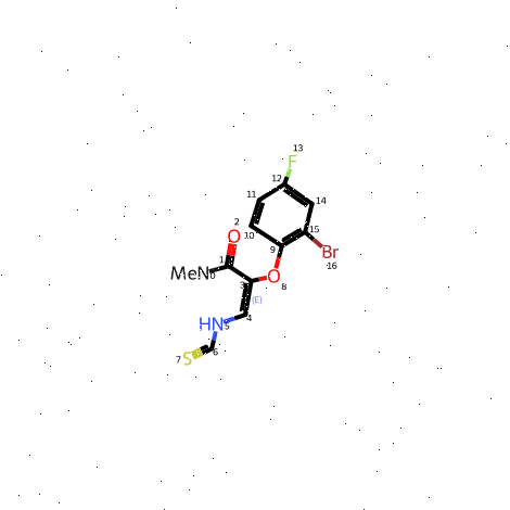 CNC(=O)/C(=C\NC=S)Oc1ccc(F)cc1Br